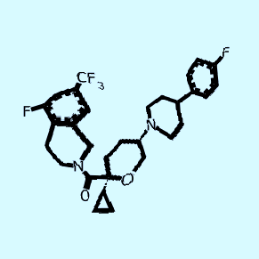 O=C(N1CCc2c(F)cc(C(F)(F)F)cc2C1)[C@@]1(C2CC2)CC[C@@H](N2CCC(c3ccc(F)cc3)CC2)CO1